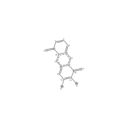 O=C1C=CC=c2cc3c(cc21)=CC(Br)=C(Br)C3=O